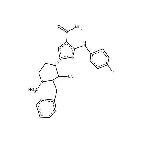 N#C[C@H]1C(Cc2ccccc2)N(C(=O)O)CC[C@@H]1n1cc(C(N)=O)c(Nc2ccc(F)cc2)n1